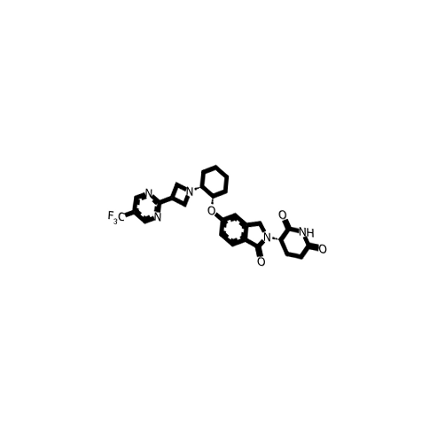 O=C1CC[C@H](N2Cc3cc(O[C@H]4CCCC[C@H]4N4CC(c5ncc(C(F)(F)F)cn5)C4)ccc3C2=O)C(=O)N1